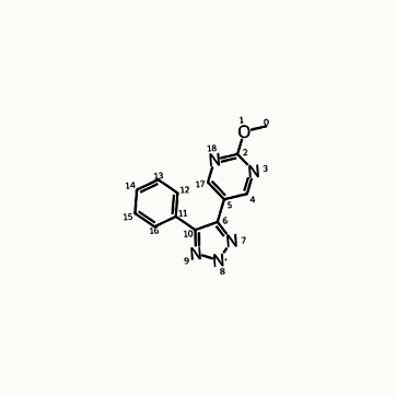 COc1ncc(C2=N[N]N=C2c2ccccc2)cn1